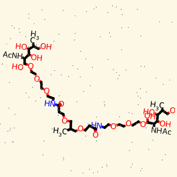 CC(=O)NC(C(O)OCCOCCOCCNC(=O)CCOCC(C)COCCC(=O)NCCOCCOCCO[C@H](O)C(NC(C)=O)C(O)C(O)C(C)CO)C(O)C(O)C(C)CO